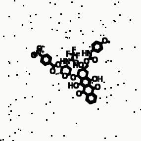 COc1ccc(NC(=O)OCC2(O)Cc3c(O)c4c(c(O)c3[C@@H](O[C@H]3C[C@H](NC(=O)C(F)(F)F)[C@@H](OC(=O)c5ccc([N+](=O)[O-])cc5)[C@@H](C)O3)C2)C(=O)c2ccccc2C4=O)cc1